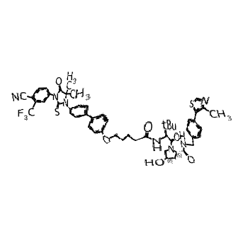 Cc1ncsc1-c1ccc(CNC(=O)[C@@H]2C[C@@H](O)CN2C(=O)C(NC(=O)CCCCOc2ccc(-c3ccc(N4C(=S)N(c5ccc(C#N)c(C(F)(F)F)c5)C(=O)C4(C)C)cc3)cc2)C(C)(C)C)cc1